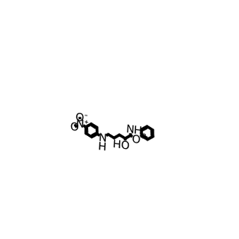 NC(Oc1ccccc1)C(O)CCCNc1ccc([N+](=O)[O-])cc1